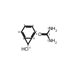 Cl.NC(N)=O.c1ccc2c(c1)C2